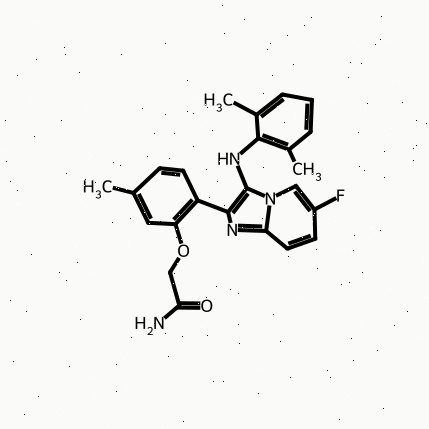 Cc1ccc(-c2nc3ccc(F)cn3c2Nc2c(C)cccc2C)c(OCC(N)=O)c1